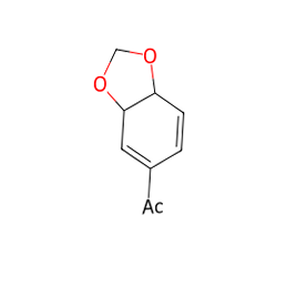 CC(=O)C1=CC2OCOC2C=C1